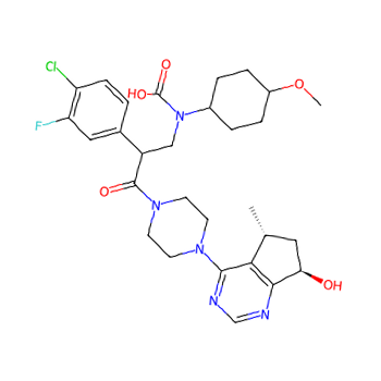 COC1CCC(N(CC(C(=O)N2CCN(c3ncnc4c3[C@H](C)C[C@H]4O)CC2)c2ccc(Cl)c(F)c2)C(=O)O)CC1